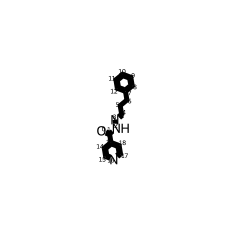 O=C(N/N=C/CCc1ccccc1)c1ccncc1